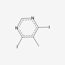 Cc1c(I)ncnc1I